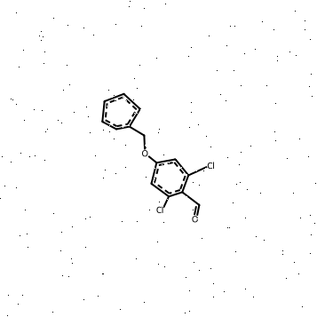 O=Cc1c(Cl)cc(OCc2ccccc2)cc1Cl